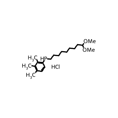 COC(CCCCCCCCPc1ccc(C)c(C)c1C)OC.Cl